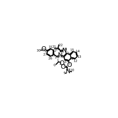 CCOc1c(OC(=O)N(C)C)c2ccccc2c2nc(C(C)C)n(Cc3ccc(OC)cc3)c12